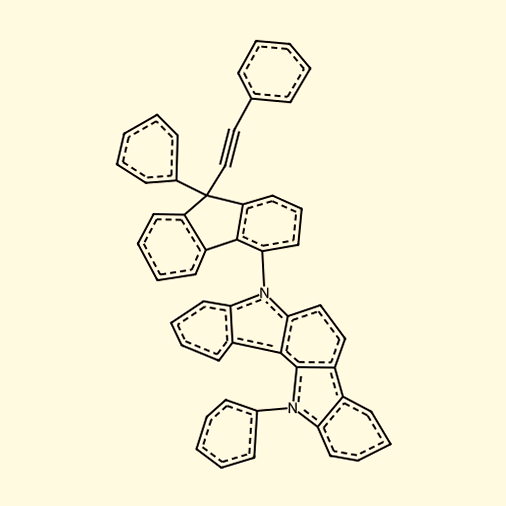 C(#CC1(c2ccccc2)c2ccccc2-c2c(-n3c4ccccc4c4c3ccc3c5ccccc5n(-c5ccccc5)c34)cccc21)c1ccccc1